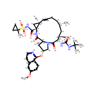 COc1ccc2c(O[C@@H]3C[C@H]4C(=O)N[C@]5(C(=O)NS(=O)(=O)C6(C)CC6)C[C@H]5/C=C\CC[C@H](C)C[C@@H](C)[C@H](NC(=O)NC(C)(C)C)C(=O)N4C3)nccc2c1